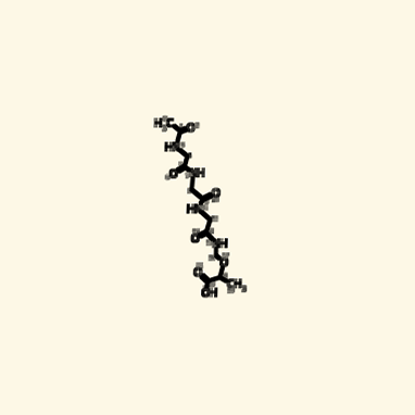 CC(=O)NCC(=O)NCC(=O)NCC(=O)NCOC(C)C(=O)O